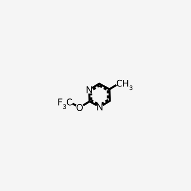 Cc1cnc(OC(F)(F)F)nc1